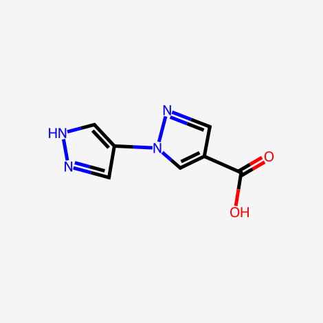 O=C(O)c1cnn(-c2cn[nH]c2)c1